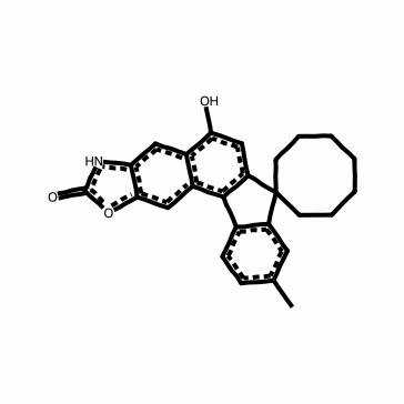 Cc1ccc2c(c1)C1(CCCCCCC1)c1cc(O)c3cc4[nH]c(=O)oc4cc3c1-2